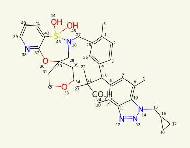 Cc1ccc(C(c2cc(C)c3c(nnn3CC3CC3)c2C)C(C)(C)C(=O)O)cc1CN1CC2(CCOCC2)Oc2ncccc2S1(O)O